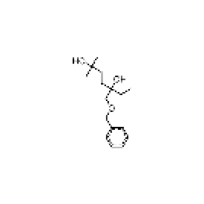 CCC(O)(CCC(C)(C)O)COCc1ccccc1